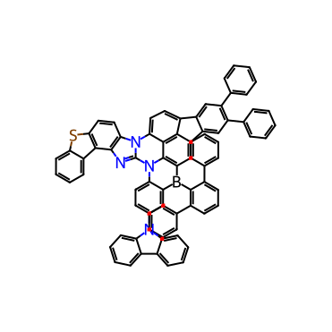 c1ccc(-c2cc3c(cc2-c2ccccc2)c2cc4c5c6c2c3ccc6n2c3ccc6sc7ccccc7c6c3nc2n5-c2ccc(-n3c5ccccc5c5ccccc53)cc2B4c2c(-c3ccccc3)cccc2-c2ccccc2)cc1